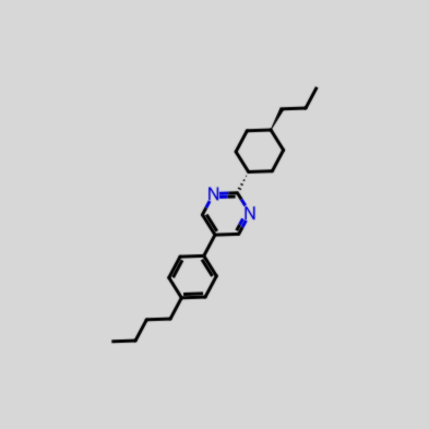 CCCCc1ccc(-c2cnc([C@H]3CC[C@H](CCC)CC3)nc2)cc1